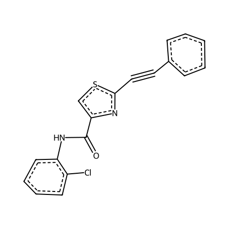 O=C(Nc1ccccc1Cl)c1csc(C#Cc2ccccc2)n1